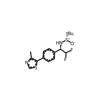 Cc1ncsc1-c1ccc([C@@H](N[S@@+]([O-])C(C)(C)C)C(F)F)cc1